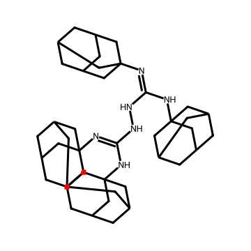 C1C2CC3CC1CC(N=C(NNC(=NC14CC5CC(CC(C5)C1)C4)NC14CC5CC(CC(C5)C1)C4)NC14CC5CC(CC(C5)C1)C4)(C2)C3